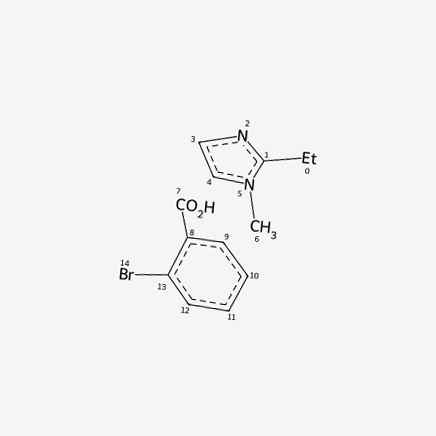 CCc1nccn1C.O=C(O)c1ccccc1Br